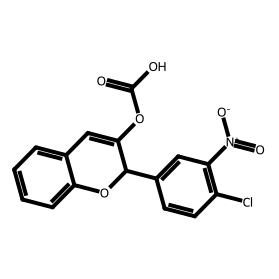 O=C(O)OC1=Cc2ccccc2OC1c1ccc(Cl)c([N+](=O)[O-])c1